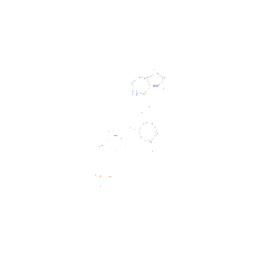 O=P(O)(O)OC[C@H]1OC(Oc2cc(Cl)ccc2CNc2ncnc3nc[nH]c23)[C@H](O)[C@@H]1O